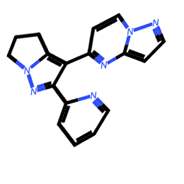 c1ccc(-c2nn3c(c2-c2ccn4nccc4n2)CCC3)nc1